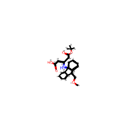 COCC1C2=CC=CCC2(NC(CC(=O)O)CC(=O)OC(C)(C)C)c2ccccc21